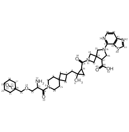 CC1(CC2CC3(CCN(C(=O)C(N)COCC45CCC(CC4)OC5)CC3)C2)CC1C(=O)N1CC2(C1)CN(c1nccc3ncsc13)CC2C(=O)O